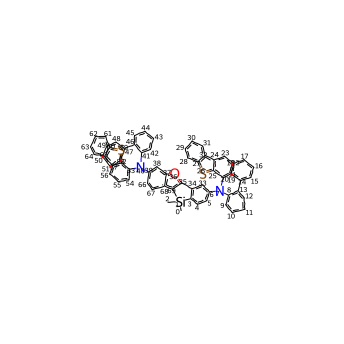 C[Si]1(C)c2ccc(N(c3ccccc3-c3ccccc3)c3cccc4c3sc3ccccc34)cc2-c2oc3cc(N(c4ccccc4-c4ccccc4)c4cccc5c4sc4ccccc45)ccc3c21